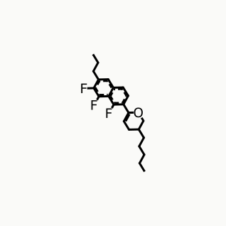 CCCCCC1CC=C(c2ccc3cc(CCC)c(F)c(F)c3c2F)OC1